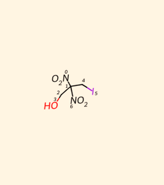 O=[N+]([O-])C(CO)(CI)[N+](=O)[O-]